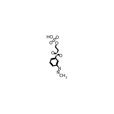 C/N=N/c1cccc(S(=O)(=O)CCOS(=O)(=O)O)c1